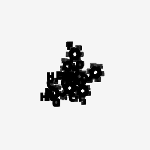 CCC(CC)(C(=O)OCc1ccccc1)[C@H]1CC[C@@H](c2cccc(F)c2)N1C(=O)[C@@H](COCc1ccccc1)NC(=O)c1ccc(Cc2cc(C)n[nH]c2=O)c(C)c1